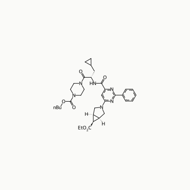 CCCCOC(=O)N1CCN(C(=O)[C@H](CC2CC2)NC(=O)c2cc(N3C[C@@H]4[C@H](C3)[C@@H]4C(=O)OCC)nc(-c3ccccc3)n2)CC1